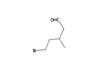 [CH2]C(CC=O)CCBr